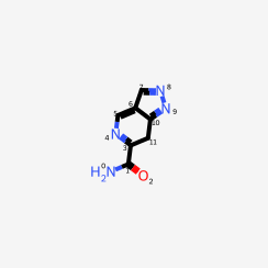 NC(=O)C1=NC=C2C=NN=C2C1